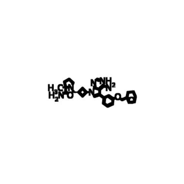 C[C@@]1(C(N)=O)CCCN1C[C@H]1C[C@H](n2cc(-c3cccc(OCC45CCC(CC4)O5)c3)c3c(N)ncnc32)C1